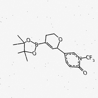 CC1(C)OB(C2=CC(c3ccc(=O)n(C(F)(F)F)c3)OCC2)OC1(C)C